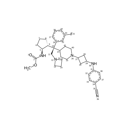 COC(=O)N[C@H]1CCC[C@@H]1[C@](CN1CCC1)(c1cccc(F)c1)C1CCN(C2CC(Nc3ccc(C#N)cc3)C2)CC1